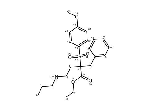 CCCNCCC(Cc1ccccc1)(C(=O)OCC)S(=O)(=O)c1ccc(OC)cc1